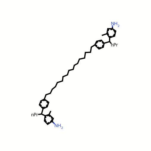 CCCC(c1ccc(CCCCCCCCCCCCCCCCCc2ccc(C(CCC)c3ccc(N)cc3C)cc2)cc1)c1ccc(N)cc1C